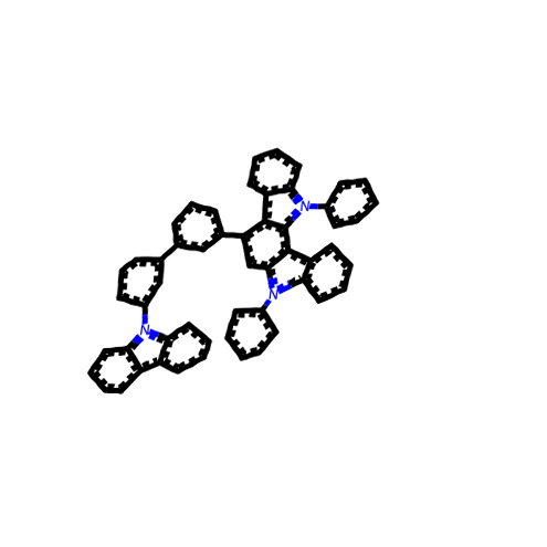 c1ccc(-n2c3ccccc3c3c2cc(-c2cccc(-c4cccc(-n5c6ccccc6c6ccccc65)c4)c2)c2c4ccccc4n(-c4ccccc4)c23)cc1